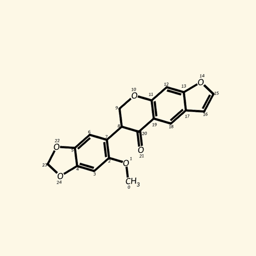 COc1cc2c(cc1C1COc3cc4occc4cc3C1=O)OCO2